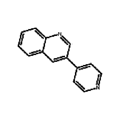 [c]1nc2ccccc2cc1-c1ccncc1